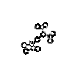 c1ccc(-c2cc3ccccc3c3c2c(-c2ccccc2)nn3-c2ccc(-c3cc(-n4c5ccccc5c5ccccc54)cc(-n4c5ccccc5c5ccccc54)c3)cc2)cc1